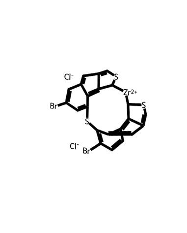 Brc1cc2c3c(c1)=CC1=CS[CH]([Zr+2][CH]4SC=C5C=c6c(c(Br)ccc6=C54)S2)C=31.[Cl-].[Cl-]